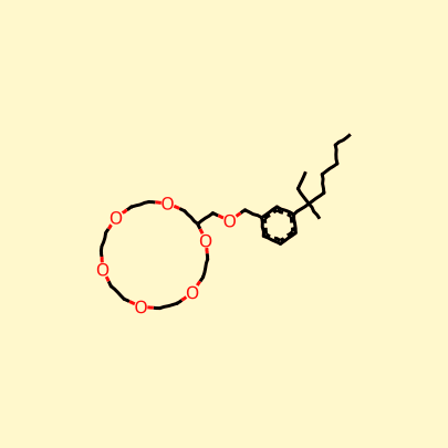 CCCCCC(C)(CC)c1cccc(COCC2COCCOCCOCCOCCOCCO2)c1